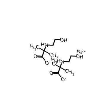 CC(C)(NCCO)C(=O)[O-].CC(C)(NCCO)C(=O)[O-].[Ni+2]